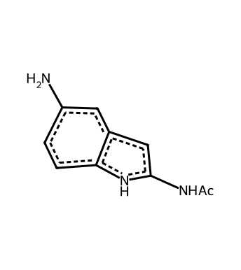 CC(=O)Nc1cc2cc(N)ccc2[nH]1